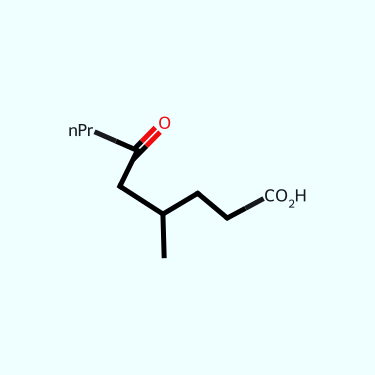 CCCC(=O)CC(C)CCC(=O)O